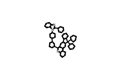 c1ccc(-c2nc3ccccc3n2-c2ccc(-c3cccc(-c4nc5ccccc5c5cc6c(cc45)-c4ccccc4C6(c4ccccc4)c4ccccc4)c3)cc2)cc1